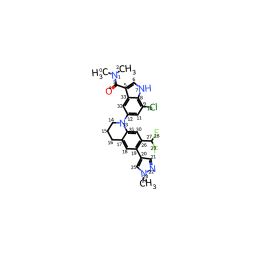 CN(C)C(=O)c1c[nH]c2c(Cl)cc(N3CCCc4cc(-c5cnn(C)c5)c(C(F)F)cc43)cc12